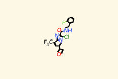 O=C(NCCc1ccccc1F)c1nc2c(C(F)(F)F)cc(-c3ccoc3)cn2c1Cl